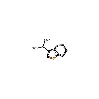 CCOC(=O)C(OC)c1csc2ccccc12